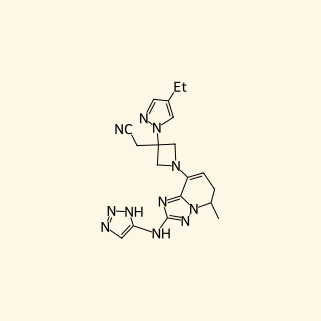 CCc1cnn(C2(CC#N)CN(C3=CCC(C)n4nc(Nc5cnn[nH]5)nc43)C2)c1